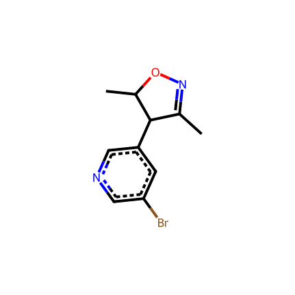 CC1=NOC(C)C1c1cncc(Br)c1